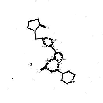 Cl.O=C1CCCN1Cc1nnc(-c2cnn3c(C4CCNCC4)cc(=O)[nH]c23)o1